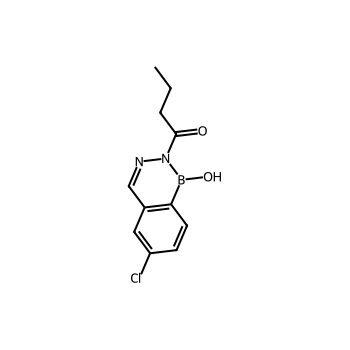 CCCC(=O)N1N=Cc2cc(Cl)ccc2B1O